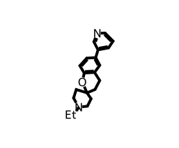 CCN1CCC2(CCc3cc(-c4cccnc4)ccc3O2)CC1